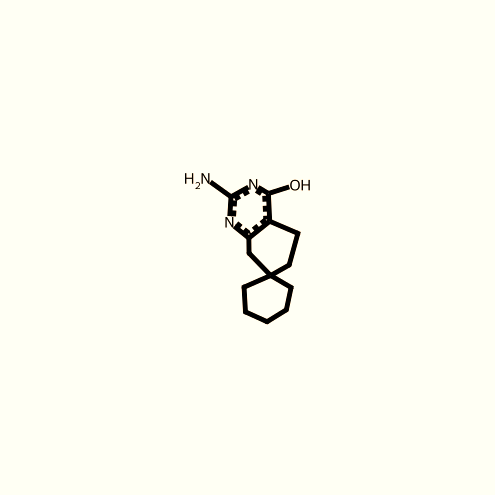 Nc1nc(O)c2c(n1)CC1(CCCCC1)CC2